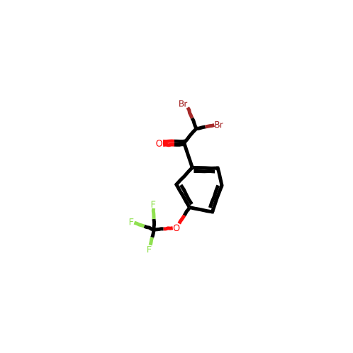 O=C(c1cccc(OC(F)(F)F)c1)C(Br)Br